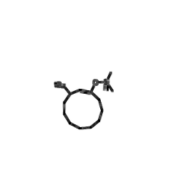 C[SiH](C)OC1=CC(C(C)(C)C)CCCCCCCC1